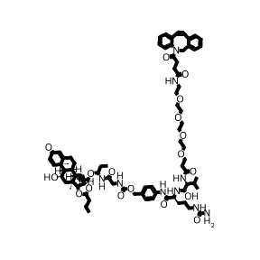 CCCC1O[C@@H]2C[C@H]3[C@@H]4CCC5=CC(=O)C=C[C@]5(C)[C@H]4[C@@H](O)C[C@]3(C)[C@]2(C(=O)COC(CC)NC(=O)CNC(=O)OCc2ccc(NC(=O)[C@H](CCCNC(N)=O)NC(O)[C@@H](NC(=O)CCOCCOCCOCCOCCNC(=O)CCC(=O)N3Cc4ccccc4C#Cc4ccccc43)C(C)C)cc2)O1